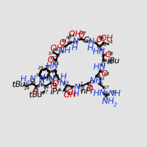 CCC[C@@H]1NC(=O)[C@H]([C@H](O)C(C)C)NC(=O)[C@@H](NC(=O)[C@H](CC(C)(C)C)NC(=O)[C@H](N)CC(C)(C)C)[C@@H](c2ccccc2)NC(=O)C(CO)NC(=O)[C@H](CO)NC(=O)CNC(=O)[C@H]([C@H](C)O)NC(=O)[C@H]([C@@H](C)CC)NC(=O)[C@@H](CCCNC(=N)N)NC1=O